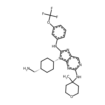 CC1(Nc2ncc3nc(Nc4cccc(OC(F)(F)F)c4)n([C@H]4CC[C@@H](CN)CC4)c3n2)CCOCC1